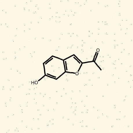 CC(=O)c1cc2ccc(O)cc2o1